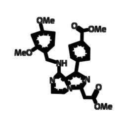 COC(=O)Cc1nc(-c2ccc(C(=O)OC)cc2)c2c(NCc3ccc(OC)cc3OC)nccn12